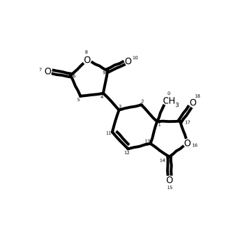 CC12CC(C3CC(=O)OC3=O)C=CC1C(=O)OC2=O